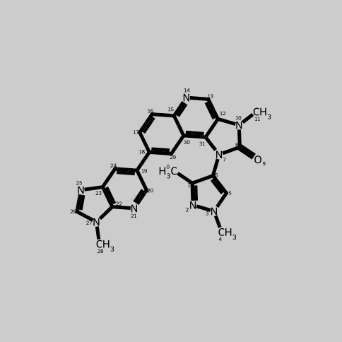 Cc1nn(C)cc1-n1c(=O)n(C)c2cnc3ccc(-c4cnc5c(c4)ncn5C)cc3c21